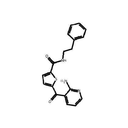 Nc1ncccc1C(=O)c1ccc(C(=O)NCCc2ccccc2)s1